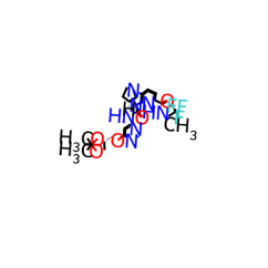 CC(NC(=O)c1ccc2c(n1)N(C(=O)Nc1cc(OC[C@@H]3COC(C)(C)O3)ncn1)[C@H]1CCN2C1)C(F)(F)F